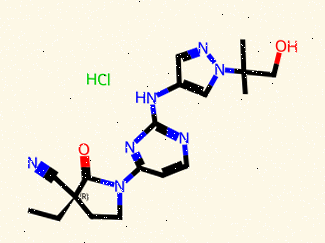 CC[C@]1(C#N)CCN(c2ccnc(Nc3cnn(C(C)(C)CO)c3)n2)C1=O.Cl